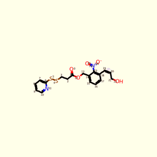 O=C(CCSSc1ccccn1)OCc1cccc(/C=C\CO)c1[N+](=O)[O-]